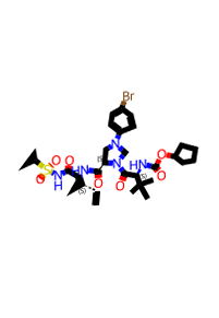 C=C[C@@H]1C[C@]1(NC(=O)[C@@H]1CN(c2ccc(Br)cc2)CN1C(=O)[C@@H](NC(=O)OC1CCCC1)C(C)(C)C)C(=O)NS(=O)(=O)C1CC1